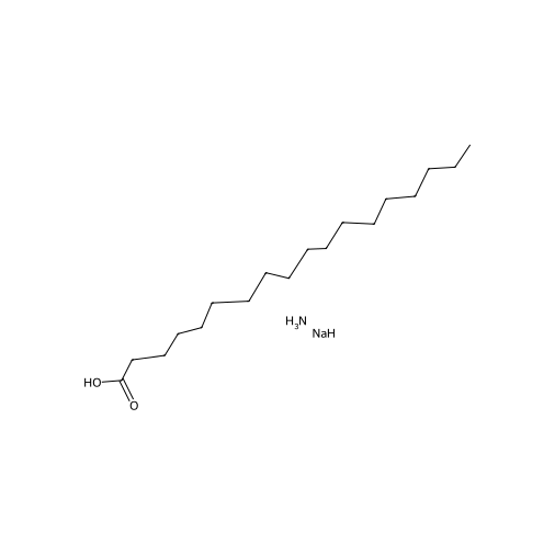 CCCCCCCCCCCCCCCCCC(=O)O.N.[NaH]